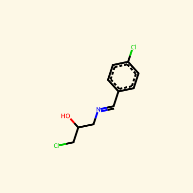 OC(CCl)CN=Cc1ccc(Cl)cc1